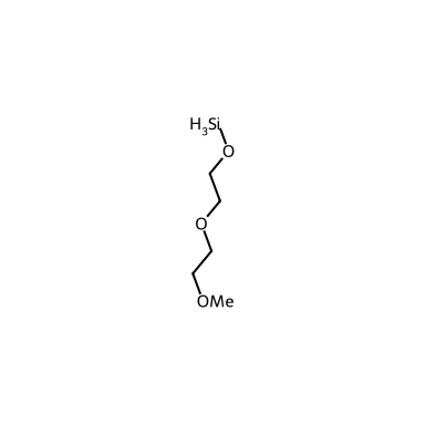 COCCOCCO[SiH3]